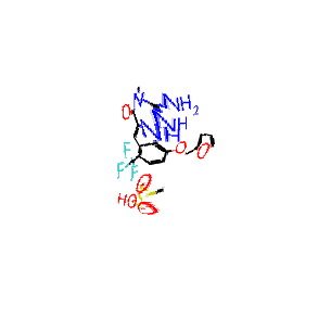 CN(C(=N)N)C(=O)c1cc2c(C(F)(F)F)ccc(OCc3ccco3)c2[nH]1.CS(=O)(=O)O